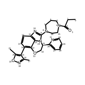 CCC(=O)N1CCCN(c2nc3ccc(-c4c(C)noc4C)c4c3n2[C@@H](c2ccccn2)CO4)CC1